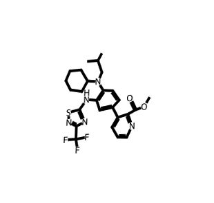 COC(=O)c1ncccc1-c1ccc(N(CC(C)C)C2CCCCC2)c(Nc2nc(C(F)(F)F)ns2)c1